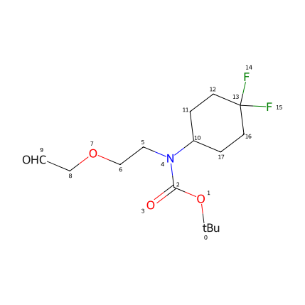 CC(C)(C)OC(=O)N(CCOCC=O)C1CCC(F)(F)CC1